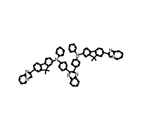 CC1(C)c2cc(-c3cn4ccccc4n3)ccc2-c2ccc(N(c3ccccc3)c3ccc(-c4nc5ccccc5nc4-c4ccc(N(c5ccccc5)c5ccc6c(c5)C(C)(C)c5cc(-c7cn8ccccc8n7)ccc5-6)cc4)cc3)cc21